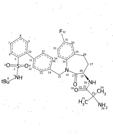 CC(C)(C)NS(=O)(=O)c1ccccc1-c1ccc(CN2C(=O)[C@H](NC(=O)C(C)(C)N)CCc3cc(F)ccc32)cc1